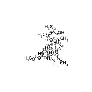 CC[C@H]1[C@@H](OCOC)[C@@H]2[C@H](C[C@H](OCOC)[C@]3(C)[C@@H]([C@H](C)CC(O)C(=O)OC)CC[C@@H]23)[C@@]2(C)CC[C@@H](OCOC)C[C@@H]12